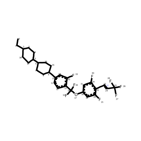 CCC1CCC(C2CCC(c3ccc(C(F)(F)Oc4cc(F)c(/C=C/C(F)(F)F)c(F)c4)c(F)c3)CC2)CC1